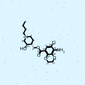 CCCCN1CC[C@H](COC(=O)c2cc(Cl)c(N)c3c2OCCO3)[C@@H](O)C1